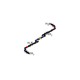 C=C(CCCCCCC/C=C\C/C=C\CCCCC)CCCC1CCN(CCSSCCN2CCC(CCCC(=C)CCCCCCC/C=C\C/C=C\CCCCC)CC2)CC1